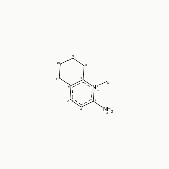 C[n+]1c(N)ccc2c1CCCC2